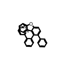 c1ccc(-c2ccc3oc4ccccc4c3c2-c2ccccc2-c2ccnnn2)cc1